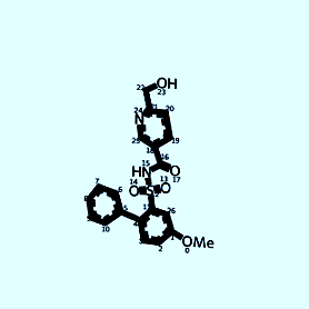 COc1ccc(-c2ccccc2)c(S(=O)(=O)NC(=O)c2ccc(CO)nc2)c1